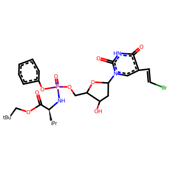 CC(C)[C@H](NP(=O)(OCC1OC(n2cc(/C=C/Br)c(=O)[nH]c2=O)CC1O)Oc1ccccc1)C(=O)OCC(C)(C)C